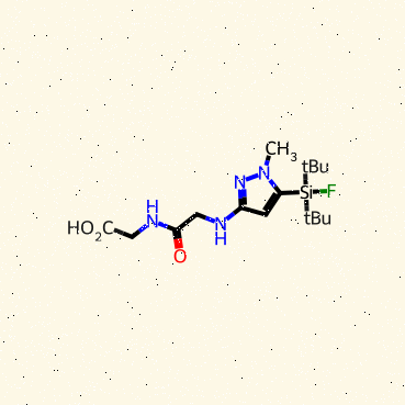 Cn1nc(NCC(=O)NCC(=O)O)cc1[Si](F)(C(C)(C)C)C(C)(C)C